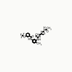 C=N/C(=N\C=C1/CSC(NC(C)=O)=N1)Nc1cc(NC(=O)C2=CCCC(OC(F)(F)F)=C2)ccc1C